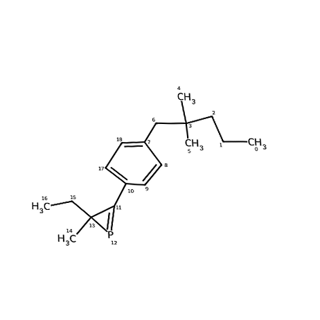 CCCC(C)(C)Cc1ccc(C2=PC2(C)CC)cc1